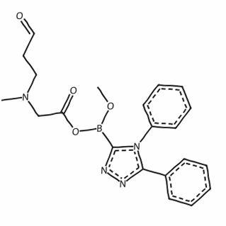 COB(OC(=O)CN(C)CCC=O)c1nnc(-c2ccccc2)n1-c1ccccc1